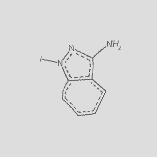 Nc1nn(I)c2ccccc12